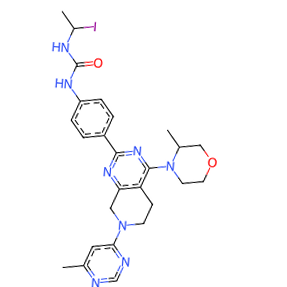 Cc1cc(N2CCc3c(nc(-c4ccc(NC(=O)NC(C)I)cc4)nc3N3CCOCC3C)C2)ncn1